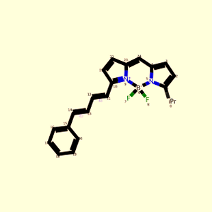 CC(C)c1ccc2n1[B-](F)(F)[N+]1=C(/C=C/C=C/c3ccccc3)C=CC1=C2